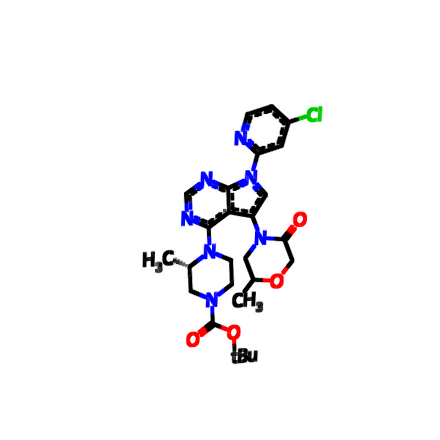 CC1CN(c2cn(-c3cc(Cl)ccn3)c3ncnc(N4CCN(C(=O)OC(C)(C)C)C[C@@H]4C)c23)C(=O)CO1